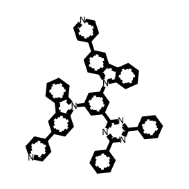 c1ccc(-c2nc(-c3ccccc3)nc(-c3cc(-n4c5ccccc5c5cc(-c6ccncc6)ccc54)cc(-n4c5ccccc5c5cc(-c6ccncc6)ccc54)c3)n2)cc1